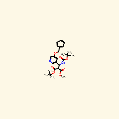 COC(=O)C(C(=O)OC(C)(C)C)C(NC(=O)OC(C)(C)C)c1cncc(OCc2ccccc2)c1